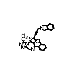 Cc1nnc2n1-c1sc(C#CCN3Cc4ccccc4C3)cc1C(c1ccccc1Cl)=NC2